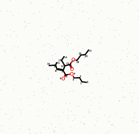 CCCCOC(=O)C(=CC(C)C)C(CC)C(=O)OCCCC